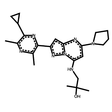 Cc1nc(C)c(C2CC2)nc1-c1cc2nc(N3CCCC3)cc(NCC(C)(C)O)n2n1